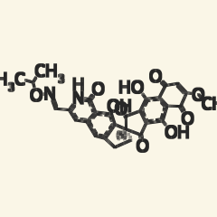 COC1=CC(=O)c2c(O)c3c(c(O)c2C1=O)C(=O)[C@]1(CCc2cc4cc(C=NOC(C)C)[nH]c(=O)c4c(O)c21)C3=O